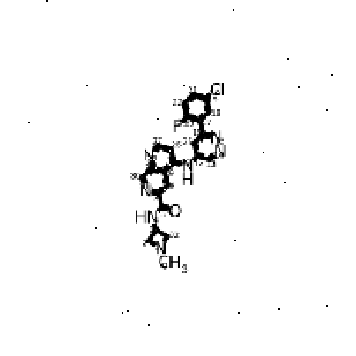 CN1CC(NC(=O)c2cc3c(Nc4cnnc(-c5cc(Cl)ccc5F)c4)ccnc3cn2)C1